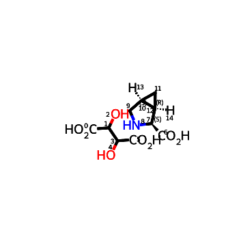 O=C(O)C(O)C(O)C(=O)O.O=C(O)[C@H]1NC[C@H]2C[C@H]21